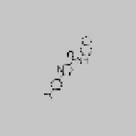 CC(C)c1ccc(-c2ccc(C(=O)Nc3ccc4c(c3)CCC4)cn2)cc1